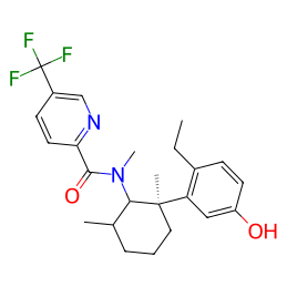 CCc1ccc(O)cc1[C@@]1(C)CCCC(C)C1N(C)C(=O)c1ccc(C(F)(F)F)cn1